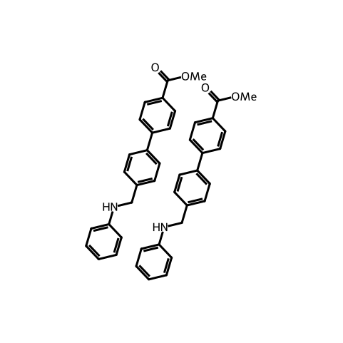 COC(=O)c1ccc(-c2ccc(CNc3ccccc3)cc2)cc1.COC(=O)c1ccc(-c2ccc(CNc3ccccc3)cc2)cc1